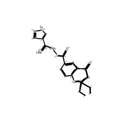 CCC1(CC)CC(=O)c2cc(C(=O)ONC(=N)c3cn[nH]c3)ccc2O1